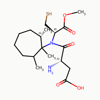 COC(=O)[C@H](CS)N(C(=O)[C@@H](N)CC(=O)O)C1(C)C(C)CCCC[C@@H]1C